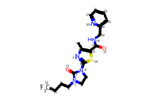 Cc1nc(N2CCN(CCCC(F)(F)F)C2=O)sc1C(=O)NCc1ccccn1